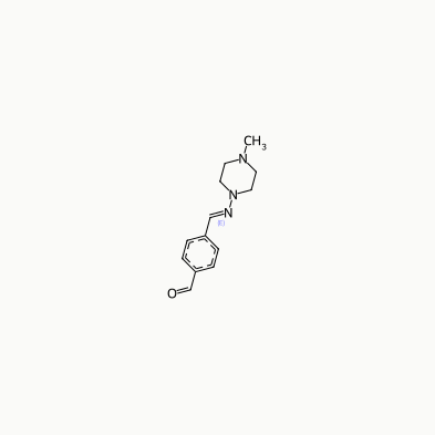 CN1CCN(/N=C/c2ccc(C=O)cc2)CC1